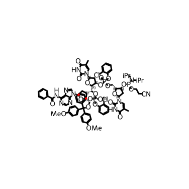 COc1ccc(C(OC[C@@H]2O[C@@H](n3cnc4c(NC(=O)c5ccccc5)ncnc43)C[C@@H]2C(OP(=O)(O)Oc2ccccc2Cl)[C@@H]2O[C@@H](n3cc(C)c(=O)[nH]c3=O)C[C@@H]2OP(=O)(OC[C@H]2O[C@@H](n3cc(C)c(=O)[nH]c3=O)C[C@@H]2OP(OCCC#N)N(C(C)C)C(C)C)Oc2ccccc2Cl)(c2ccccc2)c2ccc(OC)cc2)cc1